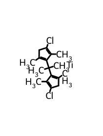 CC1=C(C(C)(C)C2=C(C)CC(Cl)=C2C)C(C)=C(Cl)C1.[Ti]